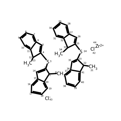 CC1C(SC2=Cc3ccccc3C2C)=Cc2ccccc21.CC1C(SC2=Cc3ccccc3C2C)=Cc2ccccc21.[Cl-].[Cl-].[Zr+2]